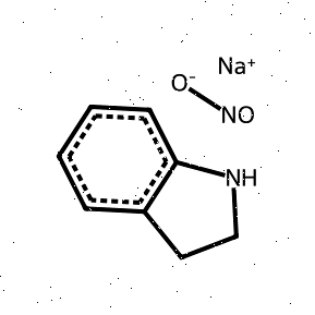 O=N[O-].[Na+].c1ccc2c(c1)CCN2